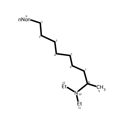 CCCCCCCCCCCCCCCCC(C)N(CC)CC